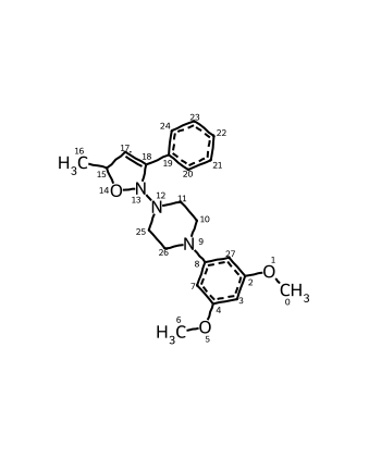 COc1cc(OC)cc(N2CCN(N3OC(C)[C]=C3c3ccccc3)CC2)c1